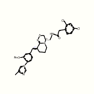 COc1cc(/C=C2\CCCN3C2=NOC[C@@H]3CNC(=O)Cc2ccc(Cl)cc2Cl)ccc1-n1cnc(C)c1